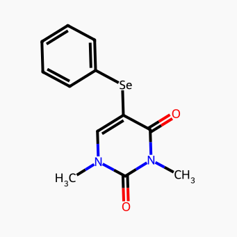 Cn1cc([Se]c2ccccc2)c(=O)n(C)c1=O